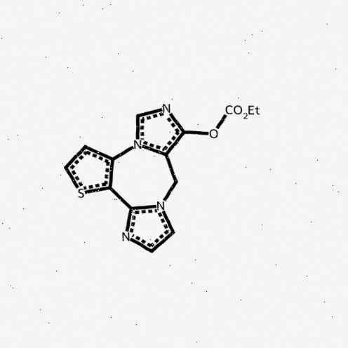 CCOC(=O)Oc1ncn2c1Cn1ccnc1-c1sccc1-2